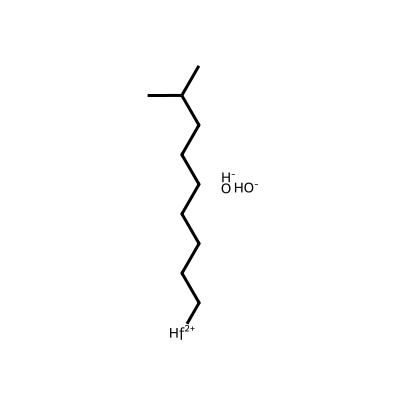 CC(C)CCCCCC[CH2][Hf+2].[OH-].[OH-]